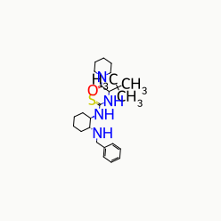 CC(C)(C)C(NC(=S)N[C@@H]1CCCC[C@H]1NCc1ccccc1)C(=O)N1CCCCC1